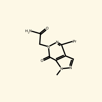 CC(C)c1nn(CC(N)=O)c(=O)c2c1cnn2C